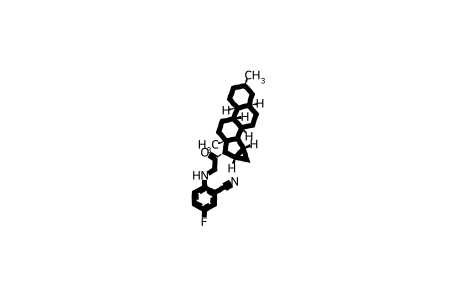 C[C@H]1CC[C@H]2[C@H](CC[C@H]3C4[C@@H]5C[C@@H]5[C@H](C(=O)CNc5ccc(F)cc5C#N)[C@@]4(C)CC[C@H]23)C1